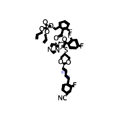 C=CCOP(=O)(OCC=C)OCc1cccc(F)c1C(=O)O[C@@](Cn1cncn1)(c1ccc(F)cc1F)[C@@H](C)S[C@H]1CO[C@H](/C=C/C=C/c2ccc(C#N)cc2F)OC1